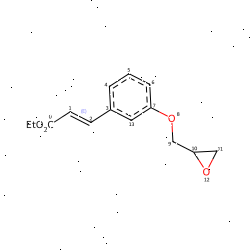 CCOC(=O)/C=C/c1cccc(OCC2CO2)c1